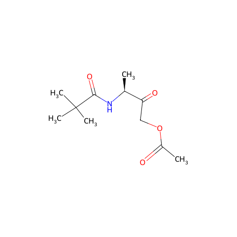 CC(=O)OCC(=O)[C@H](C)NC(=O)C(C)(C)C